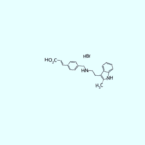 Br.Cc1[nH]c2ccccc2c1CCNCc1ccc(C=CC(=O)O)cc1